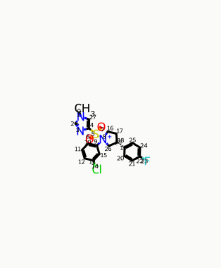 Cn1cnc(S(=O)(=O)[N+]2(c3cccc(Cl)c3)CC[C@H](c3ccc(F)cc3)C2)c1